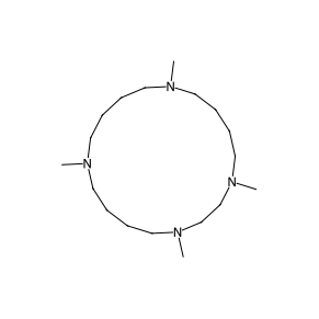 CN1CCCCN(C)CCCCN(C)CCN(C)CCCC1